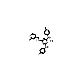 Cc1ccc(Nc2nc(NCc3ccnc(F)c3)nc(Nc3ccc(F)cc3)n2)cc1.Cl